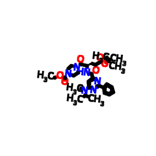 CCOC(=O)N1CCN(C(=O)[C@H](CCC(=O)OC(C)(C)C)NC(=O)c2cc(N(C)C(C)C)nc(-c3ccccc3)n2)CC1